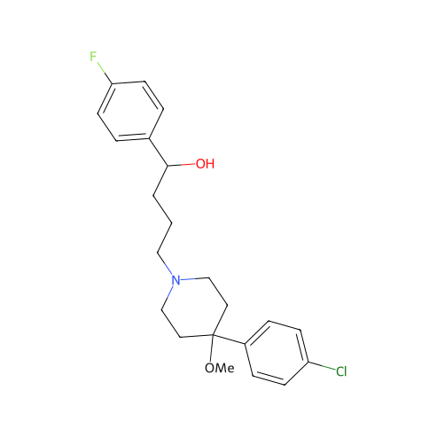 COC1(c2ccc(Cl)cc2)CCN(CCCC(O)c2ccc(F)cc2)CC1